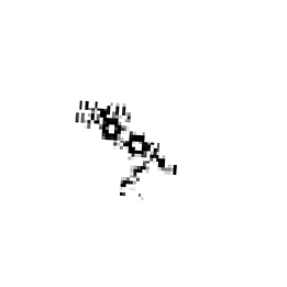 CCOCCn1c(CO)nc2ccc(Oc3ccc(C(C)(C)C)cc3)cc21